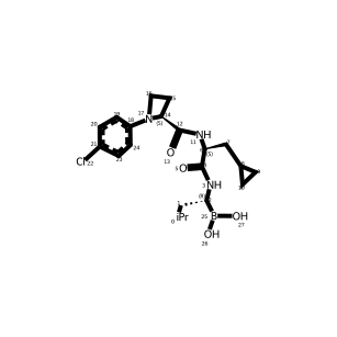 CC(C)C[C@H](NC(=O)[C@H](CC1CC1)NC(=O)[C@@H]1CCN1c1ccc(Cl)cc1)B(O)O